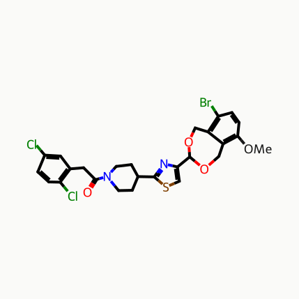 COc1ccc(Br)c2c1COC(c1csc(C3CCN(C(=O)Cc4cc(Cl)ccc4Cl)CC3)n1)OC2